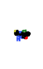 Cn1c(=O)c(-c2ccccc2Cl)cc2cnc(NC3CCSCC3)nc21